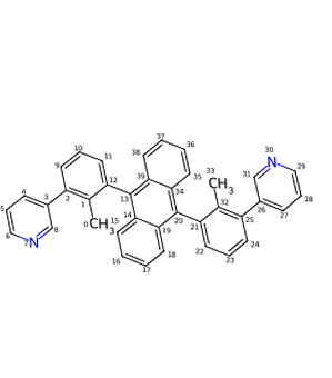 Cc1c(-c2cccnc2)cccc1-c1c2ccccc2c(-c2cccc(-c3cccnc3)c2C)c2ccccc12